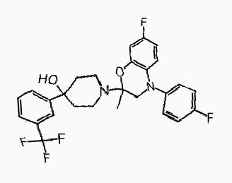 CC1(N2CCC(O)(c3cccc(C(F)(F)F)c3)CC2)CN(c2ccc(F)cc2)c2ccc(F)cc2O1